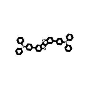 c1ccc(N(c2ccccc2)c2ccc(-c3ccc4sc5c6cc(-c7ccc(N(c8ccccc8)c8ccccc8)cc7)ccc6oc5c4c3)cc2)cc1